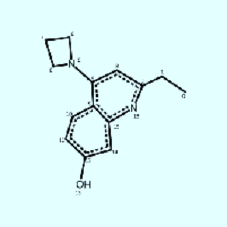 CCc1cc(N2CCC2)c2ccc(O)cc2n1